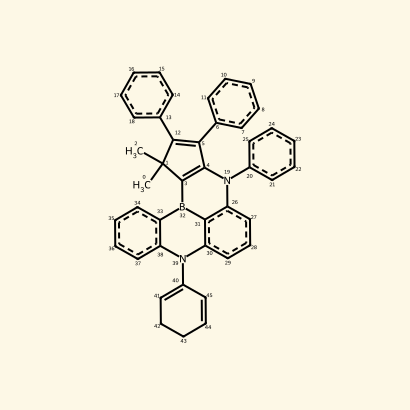 CC1(C)C2=C(C(c3ccccc3)=C1c1ccccc1)N(c1ccccc1)c1cccc3c1B2c1ccccc1N3C1=CCCC=C1